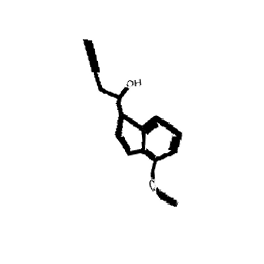 C#CCC(O)C1C=Cc2c(OC)cccc21